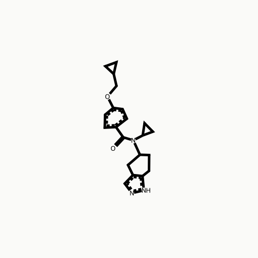 O=C(c1ccc(OCC2CC2)cc1)N(C1CC1)C1CCc2[nH]ncc2C1